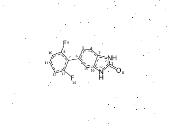 O=c1[nH]c2ccc(-c3c(F)cccc3F)cc2[nH]1